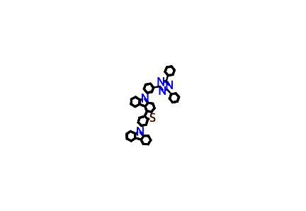 c1ccc(-c2nc(-c3ccccc3)nc(-c3cccc(-n4c5ccccc5c5c6c(ccc54)sc4cc(-n5c7ccccc7c7ccccc75)ccc46)c3)n2)cc1